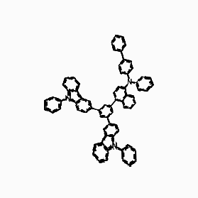 c1ccc(-c2ccc(N(c3ccccc3)c3ccc(-c4cc(-c5ccc6c(c5)c5ccccc5n6-c5ccccc5)cc(-c5ccc6c(c5)c5ccccc5n6-c5ccccc5)c4)c4ccccc34)cc2)cc1